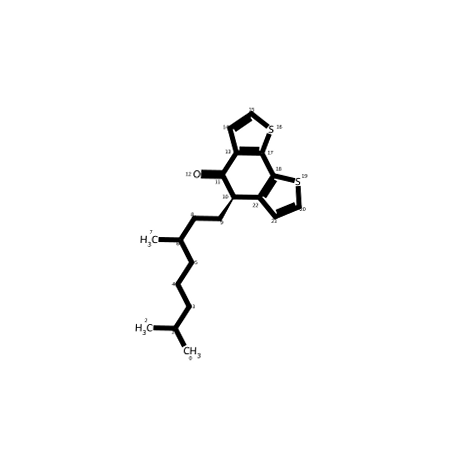 CC(C)CCCC(C)CC[C@H]1C(=O)c2ccsc2-c2sccc21